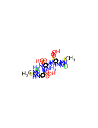 CSc1nc(Cl)nc(Nc2ccc(SOOO)c(N=Nc3cc(S(=O)(=O)O)c(N)c(N=Nc4cc(Nc5nc(Cl)nc(SC)n5)ccc4S(=O)(=O)O)c3N)c2)n1